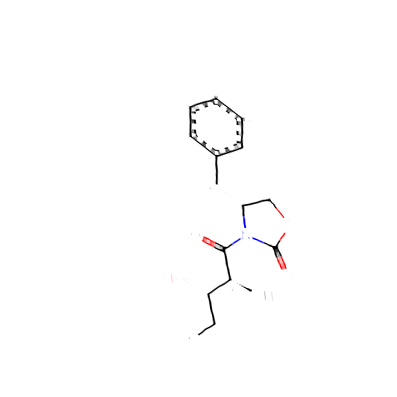 CC[C@H](O)[C@H](C)C(=O)N1C(=O)OC[C@H]1Cc1ccccc1